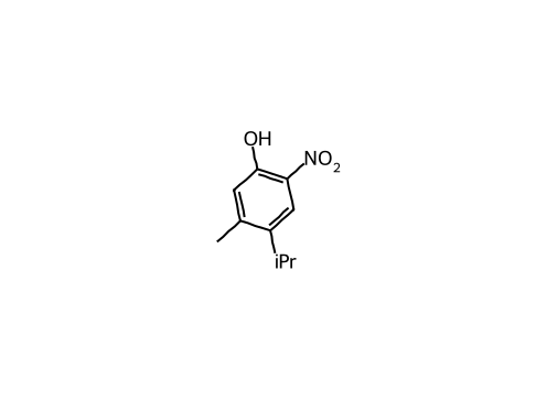 Cc1cc(O)c([N+](=O)[O-])cc1C(C)C